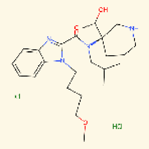 COCCCCn1c(C(=O)N(CC(C)C)[C@]2([C@H](C)O)CCCNC2)nc2ccccc21.Cl.Cl